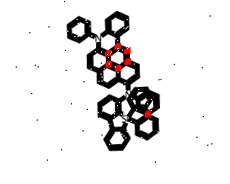 c1ccc(-c2ccccc2N(c2ccccc2)c2ccc3ccc4c(N(c5ccccc5)c5cccc6c5[Si](c5ccccc5)(c5ccccc5)c5ccccc5-6)ccc5ccc2c3c54)cc1